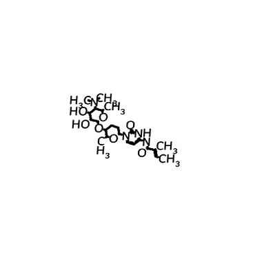 C/C=C(\C)C(=O)Nc1ccn(C2CCC(OC3OC(C)C(N(C)C)C(O)C3O)C(C)O2)c(=O)n1